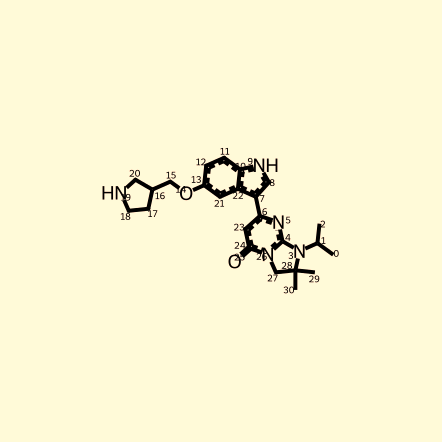 CC(C)N1c2nc(-c3c[nH]c4ccc(OCC5CCNC5)cc34)cc(=O)n2CC1(C)C